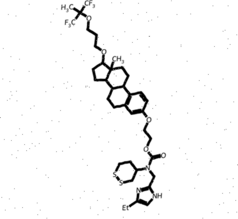 CCc1c[nH]c(CN(C(=O)OCCOc2ccc3c(c2)CCC2C3CCC3(C)C(OCCCOC(C)(C(F)(F)F)C(F)(F)F)CCC23)C2CCSSC2)n1